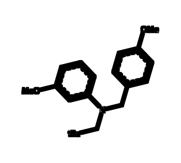 COc1ccc(CN(CC(C)(C)C)c2cccc(OC)c2)cc1